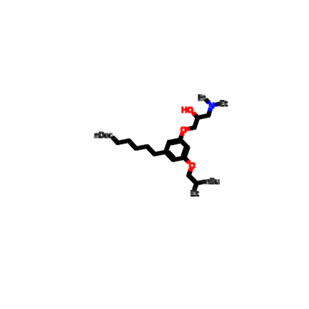 CCCCCCCCCCCCCCCc1cc(OCC(O)CN(CC)CC)cc(OCC(CC)CCCC)c1